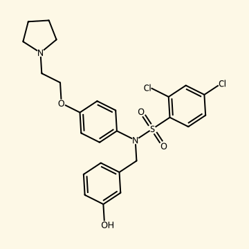 O=S(=O)(c1ccc(Cl)cc1Cl)N(Cc1cccc(O)c1)c1ccc(OCCN2CCCC2)cc1